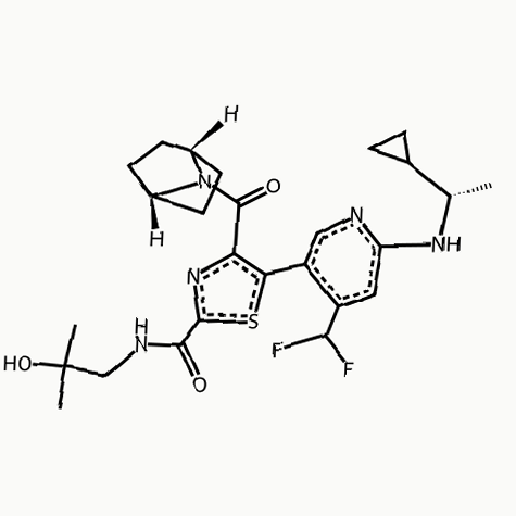 C[C@H](Nc1cc(C(F)F)c(-c2sc(C(=O)NCC(C)(C)O)nc2C(=O)N2[C@H]3CC[C@@H]2CC3)cn1)C1CC1